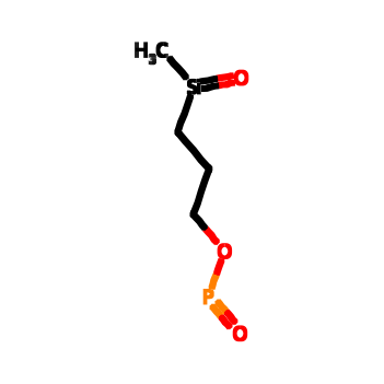 C[Si](=O)CCCOP=O